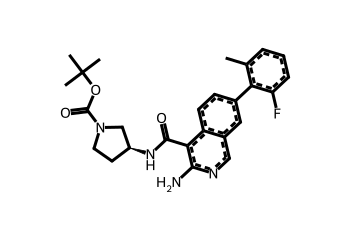 Cc1cccc(F)c1-c1ccc2c(C(=O)N[C@H]3CCN(C(=O)OC(C)(C)C)C3)c(N)ncc2c1